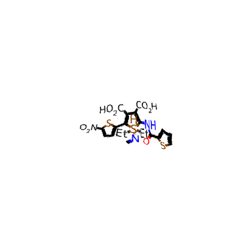 C=N[SH]1(CC)(CC)C(NC(=O)c2cccs2)=C(C(=O)O)C(C(=O)O)=C1c1ccc([N+](=O)[O-])s1